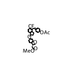 COC(=O)C[C@@H]1COc2cc(O[C@@H]3CCc4c3ccc(C(F)(F)F)c4Cc3ccc(OC(C)=O)cc3)ccc21